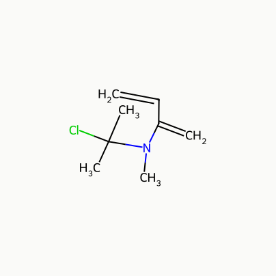 C=CC(=C)N(C)C(C)(C)Cl